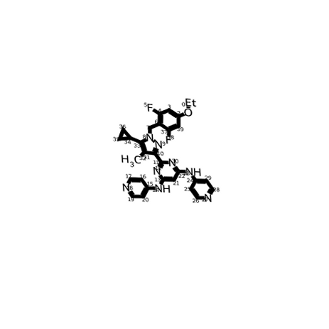 CCOc1cc(F)c(Cn2nc(-c3nc(Nc4ccncc4)cc(Nc4ccncc4)n3)c(C)c2C2CC2)c(F)c1